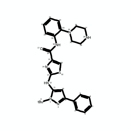 CC(C)(C)n1nc(-c2ccccc2)cc1Nc1nc(C(=O)Nc2ccccc2N2CCNCC2)cs1